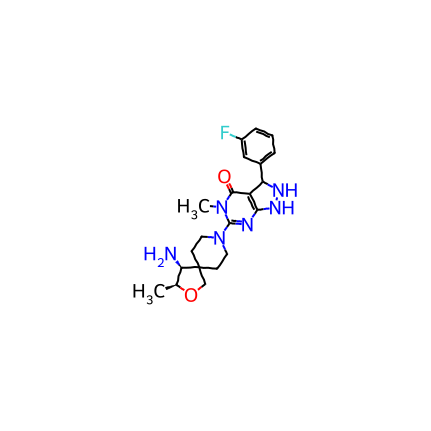 C[C@@H]1OCC2(CCN(c3nc4c(c(=O)n3C)C(c3cccc(F)c3)NN4)CC2)[C@@H]1N